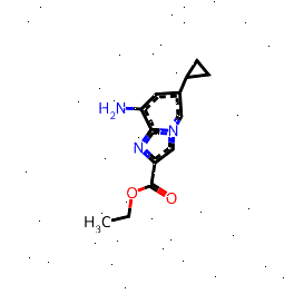 CCOC(=O)c1cn2cc(C3CC3)cc(N)c2n1